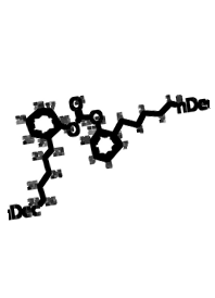 CCCCCCCCCCCCCCCc1ccccc1OC(=O)Oc1ccccc1CCCCCCCCCCCCCCC